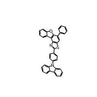 c1ccc(-c2cc3sc(-c4ccc(-n5c6ccccc6c6ccccc65)cc4)nc3c3c2oc2ccccc23)cc1